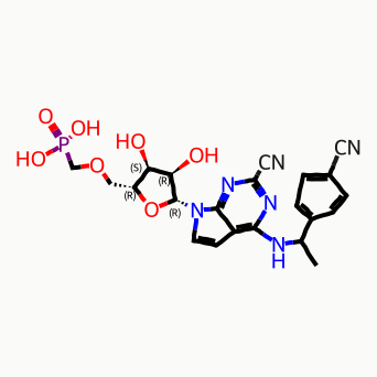 CC(Nc1nc(C#N)nc2c1ccn2[C@@H]1O[C@H](COCP(=O)(O)O)[C@@H](O)[C@H]1O)c1ccc(C#N)cc1